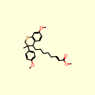 COC(=O)C=CCCCCCC1c2ccc(OC)cc2SCC1(C)c1ccc(OC)cc1